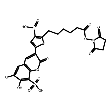 O=C(CCCCCc1sc(-c2cc3cc(Cl)c(O)c(S(=O)(=O)O)c3oc2=O)cc1S(=O)O)ON1C(=O)CCC1=O